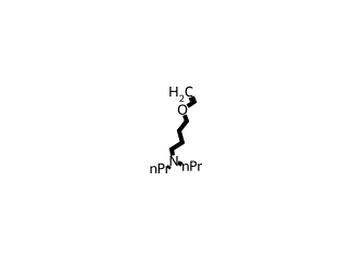 C=COCCCCN(CCC)CCC